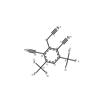 N#CCc1c(C#N)c(C(F)(F)F)cc(C(F)(F)F)c1C#N